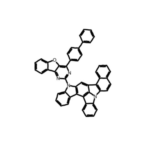 c1ccc(-c2ccc(-c3nc(-n4c5ccccc5c5c6c7ccccc7n7c8ccc9ccccc9c8c(cc54)c67)nc4c3oc3ccccc34)cc2)cc1